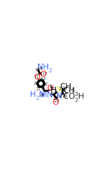 CC1(C)S[C@@H]2[C@H](NC(=O)C(N)c3ccc(OC(=O)CN)cc3)C(=O)N2[C@H]1C(=O)O